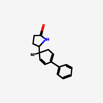 N#CC1(C2CCC(=O)N2)C=CC(c2ccccc2)=CC1